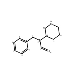 O=CN(Cc1ccccc1)C1CCCOC1